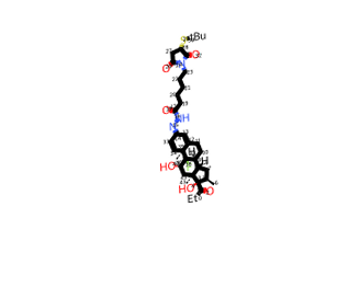 CCC(=O)[C@@]1(O)[C@H](C)C[C@H]2[C@@H]3CCC4=CC(=NNC(=O)CCCCCN5C(=O)CC(SC(C)(C)C)C5=O)C=C[C@]4(C)[C@@]3(F)[C@@H](O)C[C@@]21C